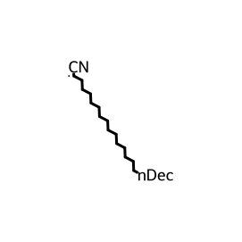 CCCCCCCCCCCCCCCCCCCCCCCC[CH]C#N